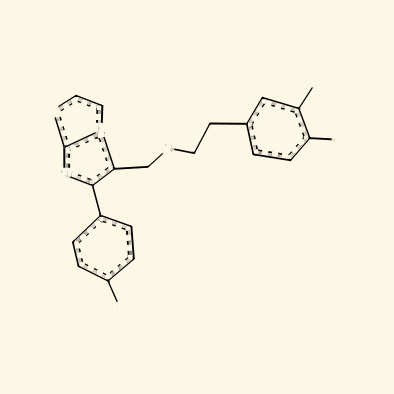 FC(F)(F)c1ccc(-c2nc3sccn3c2CNCCc2ccc(Cl)c(Cl)c2)cc1